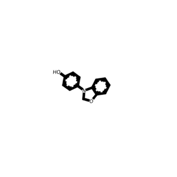 Oc1ccc(N2COc3ccccc32)cc1